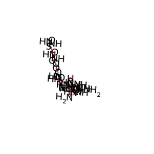 CC(=O)NC(CCCCn1cc(CC(NC(C)=O)C(=O)N[C@H](Cc2cc3ccccc3[nH]2)C(=O)N[C@H](CCCCN)C(=O)N[C@@H](C(=O)N[C@H](CCCCN)C(=O)N[C@H](CC(C)C)C(N)=O)C(C)C)nn1)C(=O)NCCOCCOCCOCCC(=O)NCCNC(=O)CCCCC1SCC2NC(=O)NC21